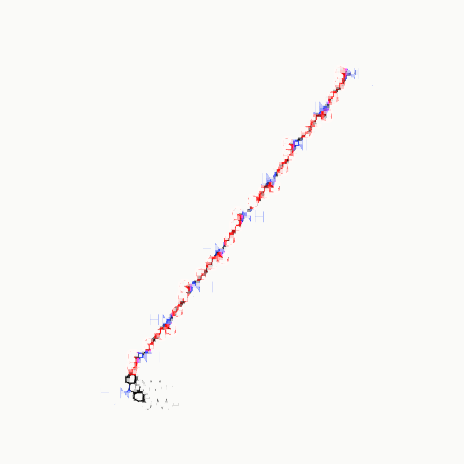 COc1ccc(C(N)c2ccc(OCC(=O)NCCOCCOCC(=O)NCCOCCOCC(=O)NCCOCCOCC(=O)NCCOCCOCC(=O)NCCOCCOCC(=O)NCCOCCOCC(=O)NCCOCCOCC(=O)NCCOCCOCC(N)=O)cc2)c(OC)c1